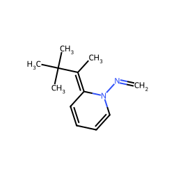 C=NN1C=CC=C/C1=C(/C)C(C)(C)C